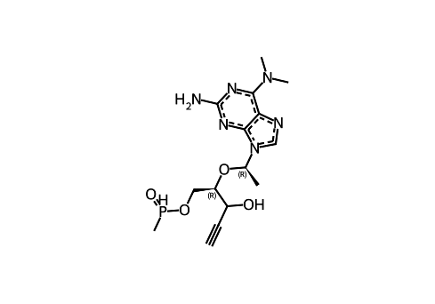 C#CC(O)[C@@H](CO[PH](C)=O)O[C@H](C)n1cnc2c(N(C)C)nc(N)nc21